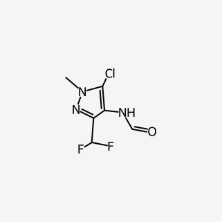 Cn1nc(C(F)F)c(NC=O)c1Cl